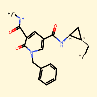 CC[C@H]1C[C@@H]1NC(=O)c1cc(C(=O)NC)c(=O)n(Cc2ccccc2)c1